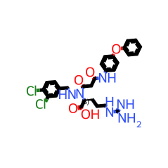 N=C(N)NCCC[C@@H](C(=O)O)N(NCc1ccc(Cl)c(Cl)c1)C(=O)CC(=O)Nc1ccc(Oc2ccccc2)cc1